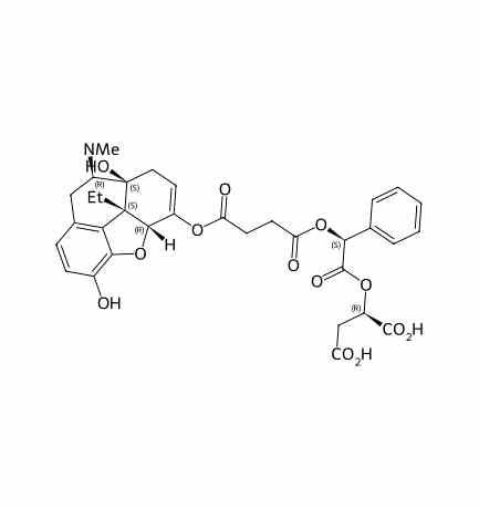 CC[C@]12c3c4ccc(O)c3O[C@H]1C(OC(=O)CCC(=O)O[C@H](C(=O)O[C@H](CC(=O)O)C(=O)O)c1ccccc1)=CC[C@@]2(O)[C@H](NC)C4